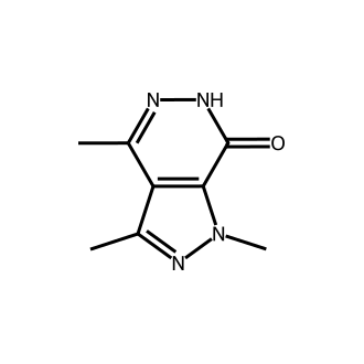 Cc1n[nH]c(=O)c2c1c(C)nn2C